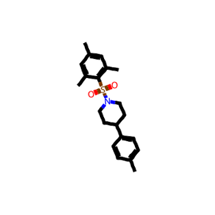 Cc1ccc(C2CCN(S(=O)(=O)c3c(C)cc(C)cc3C)CC2)cc1